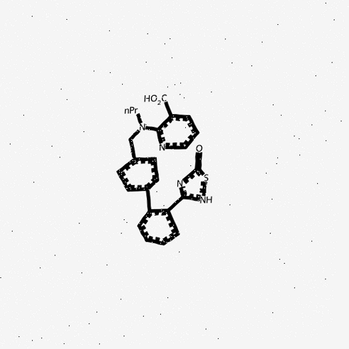 CCCN(Cc1ccc(-c2ccccc2-c2nc(=O)s[nH]2)cc1)c1ncccc1C(=O)O